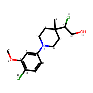 COc1cc(N2CCC(C)(C(Cl)CO)CC2)ccc1Cl